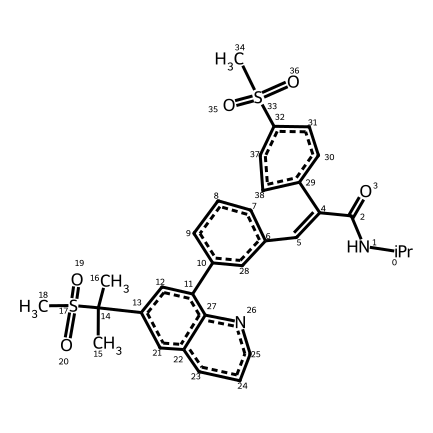 CC(C)NC(=O)/C(=C/c1cccc(-c2cc(C(C)(C)S(C)(=O)=O)cc3cccnc23)c1)c1ccc(S(C)(=O)=O)cc1